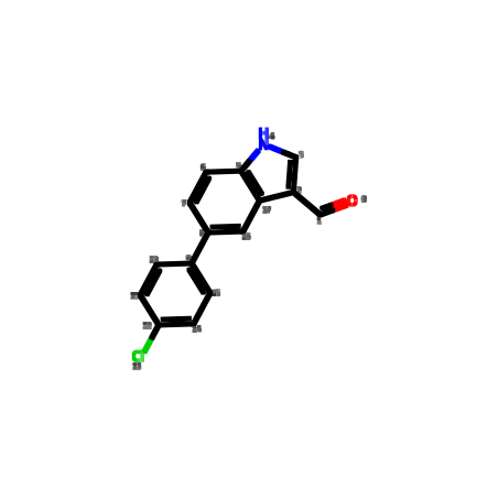 O=Cc1c[nH]c2ccc(-c3ccc(Cl)cc3)cc12